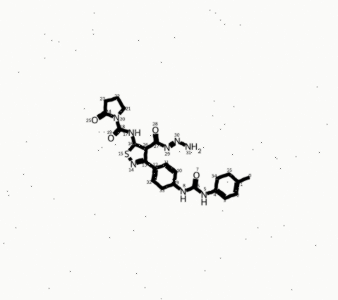 CC1=CC=C(NC(=O)NC2C=CC(C3=NSC(NC(=O)N4CCCC4=O)C3C(=O)N=NN)=CC2)CC1